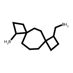 BCC1CCC12CCCC1(CCC1B)CC2